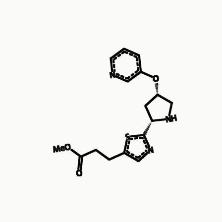 COC(=O)CCc1cnc([C@@H]2C[C@H](Oc3cccnc3)CN2)s1